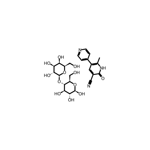 Cc1[nH]c(=O)c(C#N)cc1-c1ccncc1.OC[C@H]1O[C@@H](O[C@H]2[C@H](O)[C@@H](O)[C@H](O)O[C@@H]2CO)[C@H](O)[C@@H](O)[C@H]1O